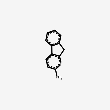 Pc1ccc2c(p1)Cc1ccccc1-2